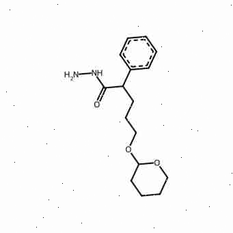 NNC(=O)C(CCCOC1CCCCO1)c1ccccc1